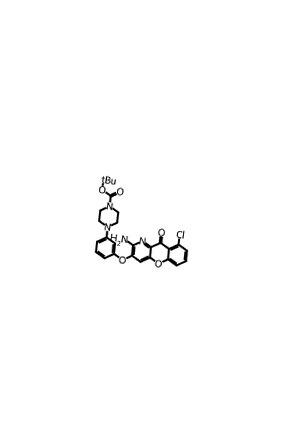 CC(C)(C)OC(=O)N1CCN(c2cccc(Oc3cc4oc5cccc(Cl)c5c(=O)c4nc3N)c2)CC1